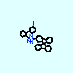 Ic1ccc2c(c1)c1ccccc1c1nnc(-c3ccc4c(c3)C3(c5ccccc5-c5ccccc53)c3ccccc3-4)n21